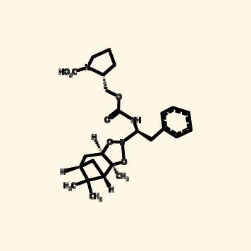 CC1(C)[C@@H]2C[C@H]3OB([C@H](Cc4ccccc4)NC(=O)OC[C@H]4CCCN4C(=O)O)O[C@@]3(C)[C@H]1C2